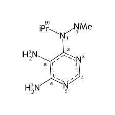 CNN(c1ncnc(N)c1N)C(C)C